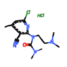 Cc1cc(Cl)nc(N(CCN(C)C)C(=O)N(C)C)c1C#N.Cl